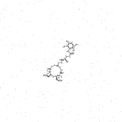 CC1(C)NCCN(CCNC(=O)CCC(=O)Sc2c(F)c(F)cc(F)c2F)CCNC(C)(C)/C(=N\O)C/C1=N/O